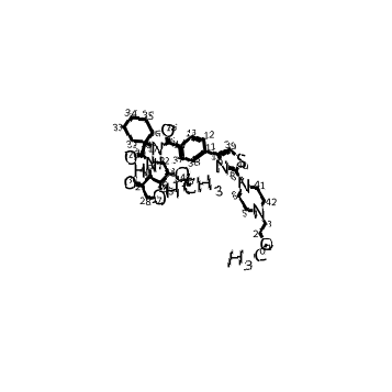 COCCN1CCN(c2nc(-c3ccc(C(=O)NC4(C(=O)N5C[C@@H](OC)[C@H]6OCC(=O)[C@H]65)CCCCC4)cc3)cs2)CC1